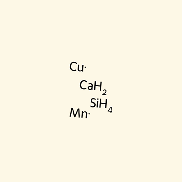 [CaH2].[Cu].[Mn].[SiH4]